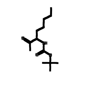 CCCCCC(NC(=O)OC(C)(C)C)C(C)=O